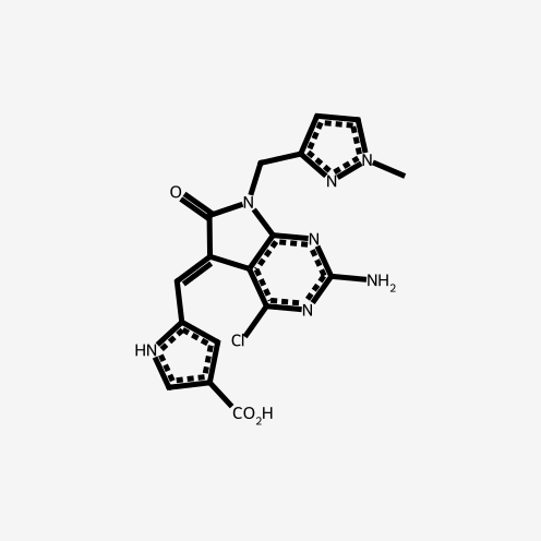 Cn1ccc(CN2C(=O)/C(=C/c3cc(C(=O)O)c[nH]3)c3c(Cl)nc(N)nc32)n1